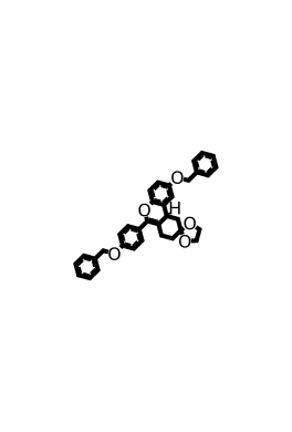 c1ccc(COc2ccc(C3=C4CCC5(C[C@@H]4c4cc(OCc6ccccc6)ccc4O3)OCCO5)cc2)cc1